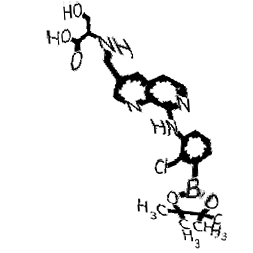 CC1(C)OB(c2cccc(Nc3nccc4cc(CNC(CO)C(=O)O)cnc34)c2Cl)OC1(C)C